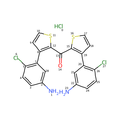 Cl.Nc1ccc(Cl)c(-c2ccsc2C(=O)c2sccc2-c2cc(N)ccc2Cl)c1